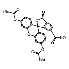 CC(C)(C)C(=O)Oc1ccc2c(c1)Oc1cc(OC(=O)C(C)(C)C)ccc1C21OC(=O)c2ccc(C(=O)N=O)cc21